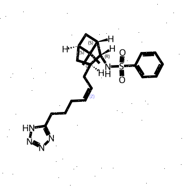 CC1(C)[C@H]2C[C@H](C/C=C\CCCc3nnn[nH]3)[C@@H](NS(=O)(=O)c3ccccc3)[C@H]1C2